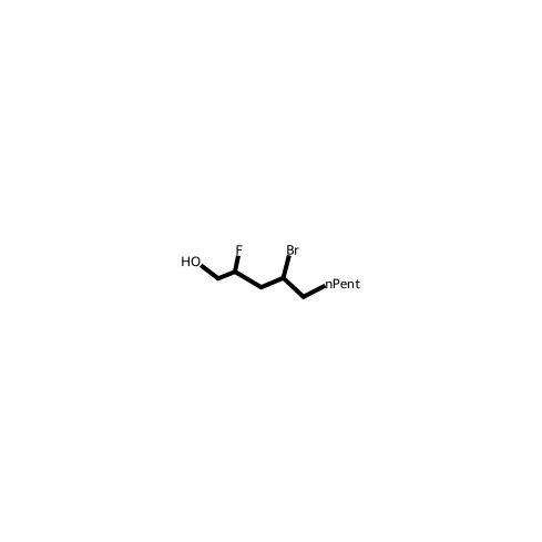 CCCCCCC(Br)CC(F)CO